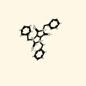 O=C1C2C(C(=O)N1Cc1ccccc1)N(Cc1ccccc1)C(=O)N2Cc1ccccc1